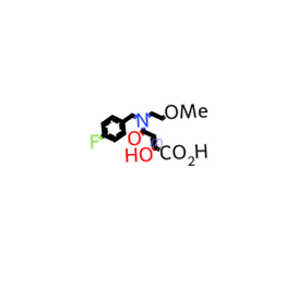 COCCN(Cc1ccc(F)cc1)C(=O)/C=C(\O)C(=O)O